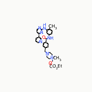 CCOC(=O)OC[N+]1(C)CCN(Cc2ccc(C(=O)Nc3ccc(C)c(Nc4nccc(-c5cccnc5)n4)c3)cc2)CC1